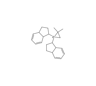 C[C]1(C)[CH2][Zr]1([CH]1CCC2C=CC=CC21)[CH]1CCC2C=CC=CC21